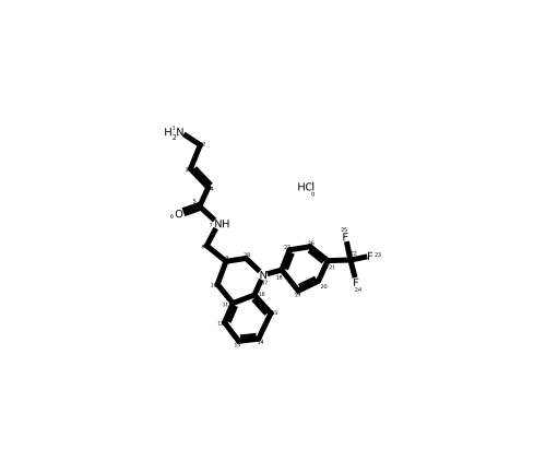 Cl.NCC=CC(=O)NCC1Cc2ccccc2N(c2ccc(C(F)(F)F)cc2)C1